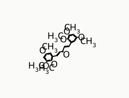 COc1cc(C=CC(=O)C=Cc2cc(OC)cc(OC)c2OC)c(OC)c(OC)c1